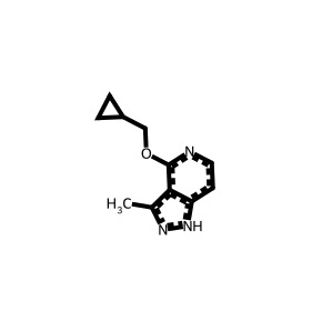 Cc1n[nH]c2ccnc(OCC3CC3)c12